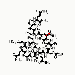 CCCCCCCCCC(=O)N[C@@H](CC(C)C)C(=O)N[C@H](CCC(=O)O)C(=O)N[C@H](CCC(N)=O)C(=O)N[C@@H](C(=O)N[C@H](CC(C)C)C(=O)N[C@@H](CCC(N)=O)C(=O)N[C@H](COC(=O)C[C@@H](C)CC)C(=O)N[C@@H](C(=O)N[C@H](CC(C)C)C(=O)N[C@H](CCC(N)=O)C(=O)N[C@@H](CC(C)C)C(=O)N[C@@H](CC(C)C)C(=O)N[C@@H](CCC(N)=O)C(N)=O)C(C)C)C(C)C